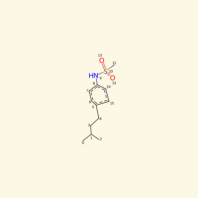 CC(C)CCc1ccc(NS(C)(=O)=O)cc1